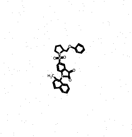 Cc1ccc2ccccc2c1N1C(=O)C(=O)c2cc(S(=O)(=O)N3CCCC3COc3ccccc3)ccc21